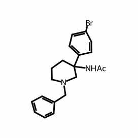 CC(=O)NC1(c2ccc(Br)cc2)CCCN(Cc2ccccc2)C1